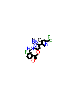 Cc1cc(C(F)F)ncc1-c1cc2c(n3cnnc13)NCc1c(F)ccc3c1[C@@H](CO3)CO2